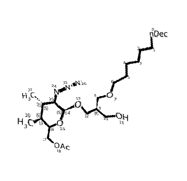 CCCCCCCCCCCCCCCCOC[C@@H](CO)CO[C@H]1OC(COC(C)=O)[C@@H](C)[C@H](C)C1N=[N+]=[N-]